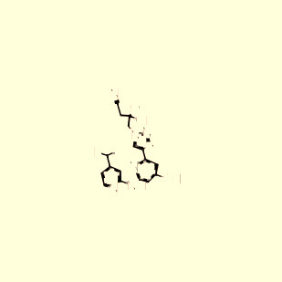 Cc1cc(Nc2cc(C(F)F)ccn2)nc(-c2cn(CC(C)(O)CC#N)nn2)c1